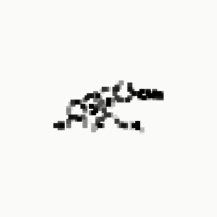 C=CCC(C)S(=O)(=O)N(Cc1ccc(O)cc1)Cc1ccc(OC)cc1